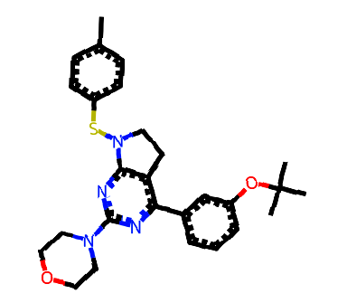 Cc1ccc(SN2CCc3c(-c4cccc(OC(C)(C)C)c4)nc(N4CCOCC4)nc32)cc1